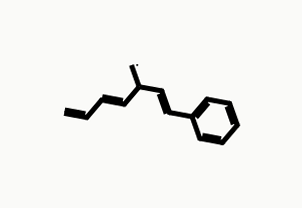 [CH2]C(C=CC=C)C=Cc1ccccc1